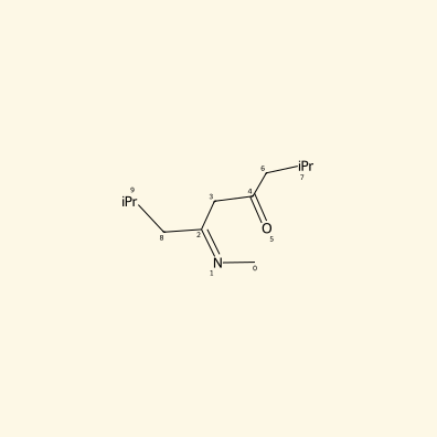 C/N=C(\CC(=O)CC(C)C)CC(C)C